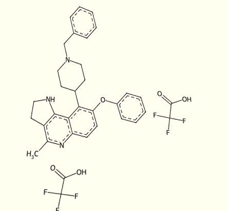 Cc1nc2ccc(Oc3ccccc3)c(C3CCN(Cc4ccccc4)CC3)c2c2c1CCN2.O=C(O)C(F)(F)F.O=C(O)C(F)(F)F